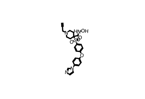 C#CCN1CCC(C(=O)NO)(S(=O)(=O)c2ccc(Oc3ccc(-n4ccnc4)cc3)cc2)CC1